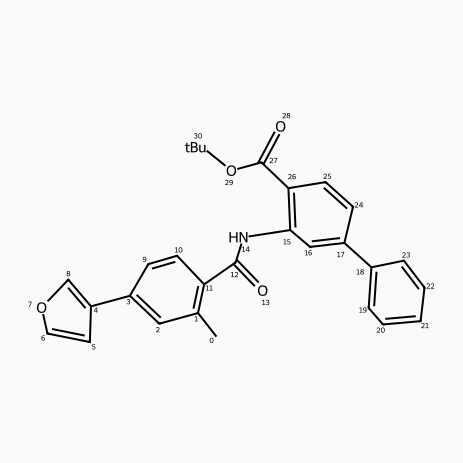 Cc1cc(-c2ccoc2)ccc1C(=O)Nc1cc(-c2ccccc2)ccc1C(=O)OC(C)(C)C